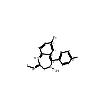 C/N=C1/CN(O)C(c2ccc(F)cc2)=c2cc(F)ccc2=N1